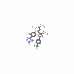 Cc1nc(-c2ccc(C(F)(F)F)cc2)sc1C(CC(C)C)Oc1ccc(-c2noc(=O)[nH]2)c(Cl)c1